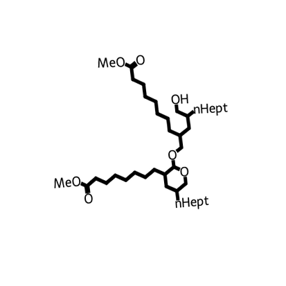 CCCCCCCC(CO)CC(CCCCCCCC(=O)OC)COC1OCC(CCCCCCC)CC1CCCCCCCC(=O)OC